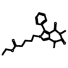 CCOC(=O)CCCCn1cc2c(c1-c1ccccc1)c(=O)n(C)c(=O)n2C